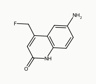 Nc1ccc2[nH]c(=O)cc(CF)c2c1